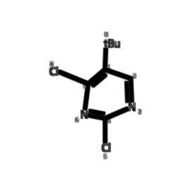 CC(C)(C)c1cnc(Cl)nc1Cl